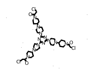 O=C(CCl)N1CCC(N2CCN(c3nc(N4CCN(C5CCN(C(=O)CCl)CC5)CC4)nc(N4CCN(C5CCN(C(=O)CCl)CC5)CC4)n3)CC2)CC1